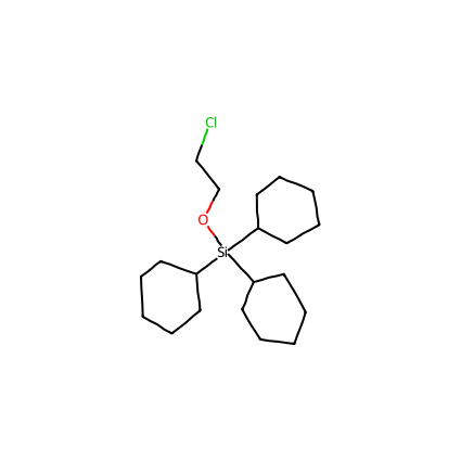 ClCCO[Si](C1CCCCC1)(C1CCCCC1)C1CCCCC1